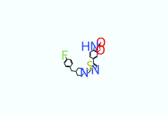 O=c1[nH]c2ccc(-c3cnc(CN4CCC(Cc5ccc(F)cc5)CC4)s3)cc2o1